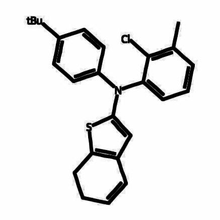 Cc1cccc(N(c2ccc(C(C)(C)C)cc2)c2cc3c(s2)CCC=C3)c1Cl